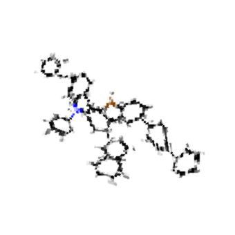 c1ccc(-c2ccc(-c3ccc4sc5c(c(-c6ccc7ccccc7c6)cc6c5c5ccc(-c7ccccc7)cc5n6-c5ccccc5)c4c3)cc2)cc1